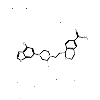 C[C@@H]1CN(c2cc(Cl)c3ccsc3c2)CCN1CC[C@@H]1OCCc2cc(C(N)=O)ccc21